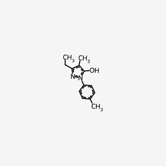 CCc1nn(-c2ccc(C)cc2)c(O)c1C